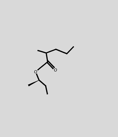 CCCC(C)C(=O)O[C@H](C)CC